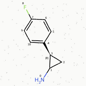 NC1C[C@@H]1c1ccc(F)cc1